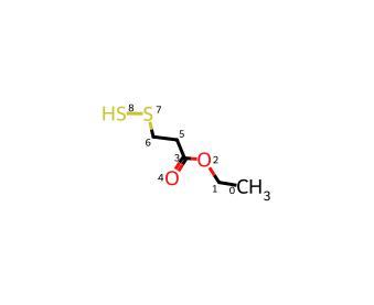 CCOC(=O)CCSS